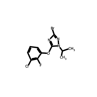 CC(C)n1nc(Br)nc1Oc1cccc(Cl)c1F